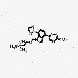 CSc1ncc(-c2ccc(-n3nccn3)c3c2cnn3COCC[Si](C)(C)C)nn1